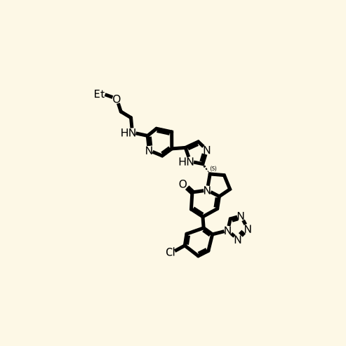 CCOCCNc1ccc(-c2cnc([C@@H]3CCc4cc(-c5cc(Cl)ccc5-n5cnnn5)cc(=O)n43)[nH]2)cn1